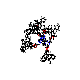 CC/C(=C(\c1ccccc1)c1ccc(OCCN(C)CC(N(C)CCOc2ccc(/C(=C(/CC)c3ccccc3)c3ccccc3)cc2)C(CN(C)CCOc2ccc(/C(=C(/CC)c3ccccc3)c3ccccc3)cc2)(CN(C)CCOc2ccc(/C(=C(/CC)c3ccccc3)c3ccccc3)cc2)N(C)CCOc2ccc(/C(=C(/CC)c3ccccc3)c3ccccc3)cc2)cc1)c1ccccc1